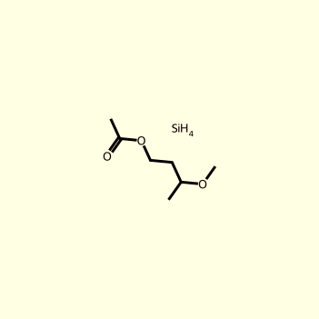 COC(C)CCOC(C)=O.[SiH4]